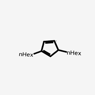 CCCCCCC1=CC(CCCCCC)[C]=C1